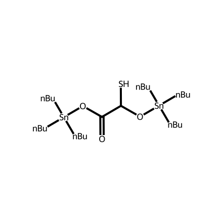 CCC[CH2][Sn]([CH2]CCC)([CH2]CCC)[O]C(=O)C(S)[O][Sn]([CH2]CCC)([CH2]CCC)[CH2]CCC